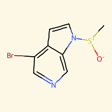 C[S+]([O-])n1ccc2c(Br)cncc21